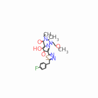 CCN1C(=O)c2c(O)c(=O)c(-c3nnc(Cc4ccc(F)cc4)s3)cn2N(CCOC)C1C